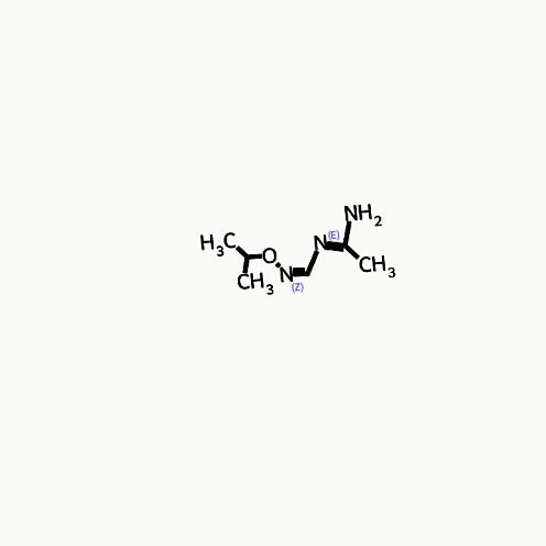 C/C(N)=N\C=N/OC(C)C